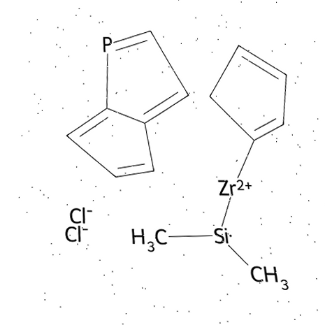 C1=CC2=CC=PC2=C1.C[Si](C)[Zr+2][C]1=CC=CC1.[Cl-].[Cl-]